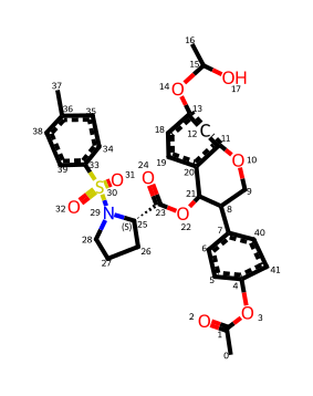 CC(=O)Oc1ccc(C2COc3cc(OC(C)O)ccc3C2OC(=O)[C@@H]2CCCN2S(=O)(=O)c2ccc(C)cc2)cc1